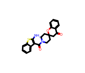 Nc1sc2ccccc2c1C(=O)N1CCC2(CC1)CC(=O)c1ccccc1O2